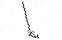 C=C(C)COCC(=C)C(=O)OCCCCCCCCCCCCCCCCC